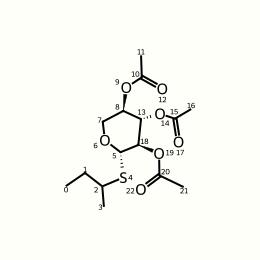 CCC(C)S[C@@H]1OC[C@@H](OC(C)=O)[C@H](OC(C)=O)[C@H]1OC(C)=O